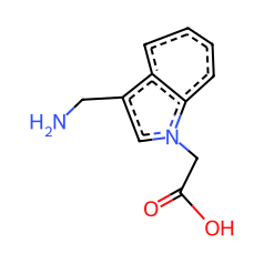 NCc1cn(CC(=O)O)c2ccccc12